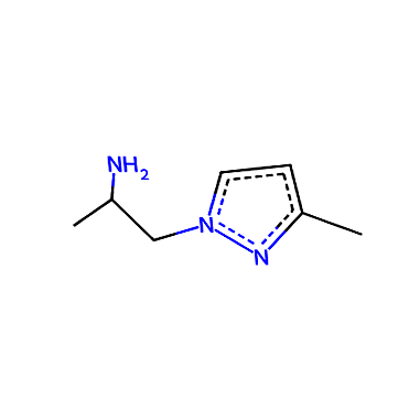 Cc1ccn(CC(C)N)n1